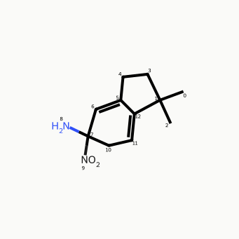 CC1(C)CCC2=CC(N)([N+](=O)[O-])CC=C21